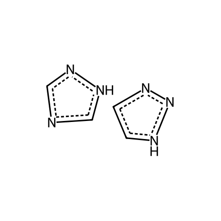 c1c[nH]nn1.c1nc[nH]n1